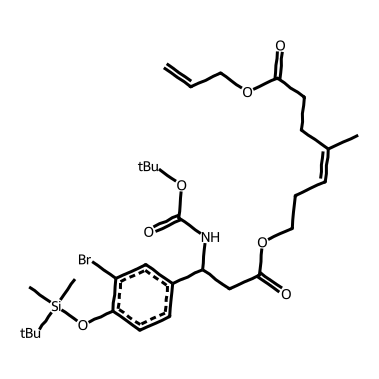 C=CCOC(=O)CCC(C)=CCCOC(=O)CC(NC(=O)OC(C)(C)C)c1ccc(O[Si](C)(C)C(C)(C)C)c(Br)c1